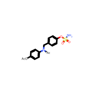 CC(=O)Oc1ccc(N(Cc2ccc(OS(N)(=O)=O)cc2)C(C)=O)cc1